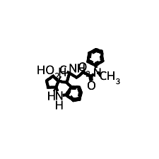 CN(C(=O)C(=O)CC(N)(C(=O)O)C1c2ccccc2N[C@@H]2CCC[C@H]12)c1ccccc1